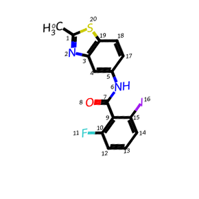 Cc1nc2cc(NC(=O)c3c(F)cccc3I)ccc2s1